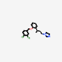 CC(CCn1ccnc1)c1ccccc1OCc1ccc(Cl)c(Cl)c1